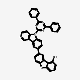 Bc1cccc2oc3ccc(-c4ccc5c(c4)c4cnccc4n5-c4nc(-c5ccccc5)nc(-c5ccccc5)n4)cc3c12